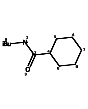 CCC(C)[N]C(=O)C1CCCCC1